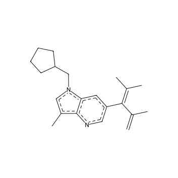 C=C(C)C(=C(C)C)c1cnc2c(C)cn(CC3CCCC3)c2c1